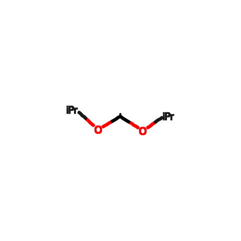 CC(C)O[CH]OC(C)C